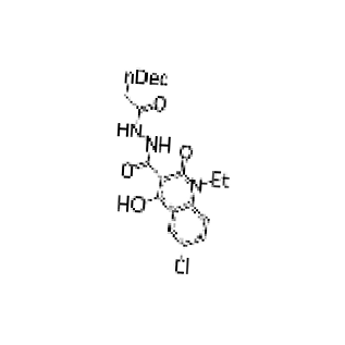 CCCCCCCCCCCC(=O)NNC(=O)c1c(O)c2cc(Cl)ccc2n(CC)c1=O